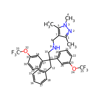 Cc1nn(C)c(C)c1CNCC(Cc1ccccc1)(c1cccc(OC(F)(F)F)c1)c1cccc(OC(F)(F)F)c1